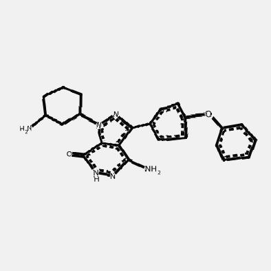 Nc1n[nH]c(=O)c2c1c(-c1ccc(Oc3ccccc3)cc1)nn2C1CCCC(N)C1